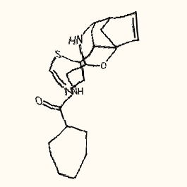 O=C(NCC1NC2C3C=CC(C3)(O1)C2C1CN=CS1)C1CCCCC1